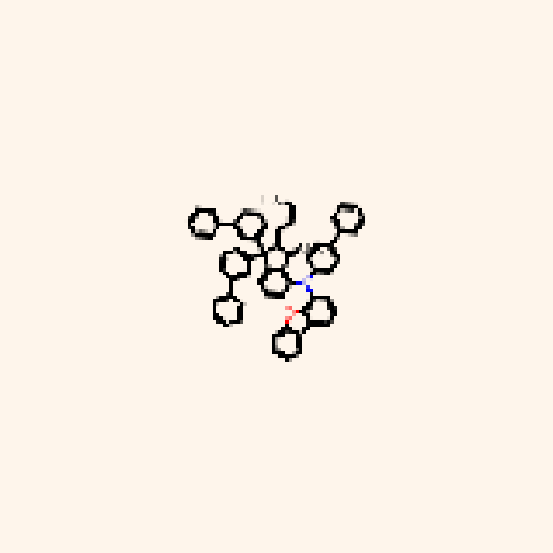 C=C1/C(=C\C=C/C)C(c2cccc(-c3ccccc3)c2)(c2cccc(-c3ccccc3)c2)c2cccc(N(c3ccc(-c4ccccc4)cc3)c3cccc4c3oc3ccccc34)c21